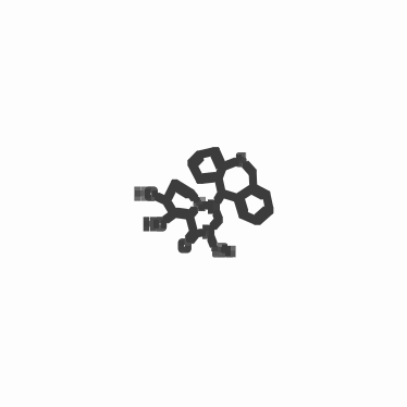 CC(C)(C)N1CN(C2c3ccccc3CSc3ccccc32)N2C=CC(O)C(O)=C2C1=O